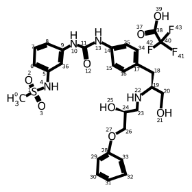 CS(=O)(=O)Nc1cccc(NC(=O)Nc2ccc(C[C@@H](CO)NC[C@H](O)COc3ccccc3)cc2)c1.O=C(O)C(F)(F)F